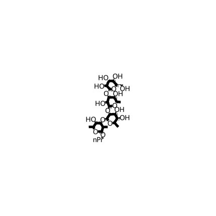 CCCO[C@@H]1OC(C)[C@H](O)[C@H](O[C@@H]2OC(C)[C@H](O)[C@H](O)C2O[C@@H]2OC(C)[C@H](O)[C@H](O[C@H]3O[C@@H](CO)[C@@H](O)C(O)C3O)C2O)C1C